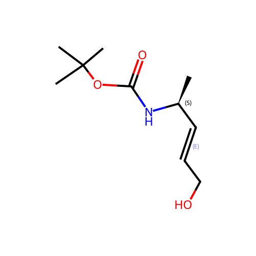 C[C@@H](/C=C/CO)NC(=O)OC(C)(C)C